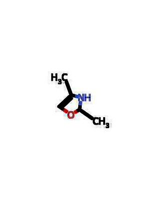 CC1=COC(C)N1